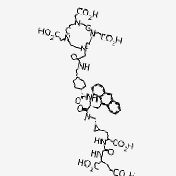 CN(C[C@H]1C[C@@H]1C[C@H](NC(=O)N[C@@H](CCC(=O)O)C(=O)O)C(=O)O)C(=O)[C@H](Cc1c2ccccc2cc2ccccc12)NC(=O)[C@H]1CC[C@H](CNC(=O)CN2CCN(CC(=O)O)CCN(CC(=O)O)CCN(CC(=O)O)CC2)CC1